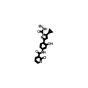 CCC(C)NC(=O)n1nc(-c2ccc(NC(=O)c3cccnc3Cl)cc2O)cc1C1CC1